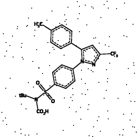 Cc1ccc(-c2cc(C(F)(F)F)nn2-c2ccc(S(=O)(=O)N(C(=O)O)C(C)(C)C)cc2)cc1